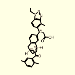 CCn1nnc2c(C)c([C@H](CC(=O)O)c3ccc4c(c3)[C@H]3CC[C@@H](C4)N3C(=O)c3cc(C)ccc3C)ccc21